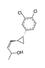 CC(O)/C=C\[C@@H]1C[C@H]1c1ccc(Cl)c(Cl)c1